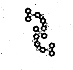 c1ccc([Si](c2ccccc2)(c2ccc3oc4cc5oc6ccc(-n7c8ccccc8c8ccccc87)cc6c5cc4c3c2)c2ccc3oc4cc5oc6ccc(-n7c8ccccc8c8ccccc87)cc6c5cc4c3c2)cc1